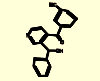 N#Cc1cccc(C(=O)c2ccncc2C(O)c2ccccc2)c1